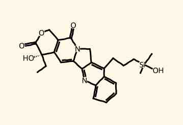 CC[C@@]1(O)C(=O)OCc2c1cc1n(c2=O)Cc2c-1nc1ccccc1c2CCC[Si](C)(C)O